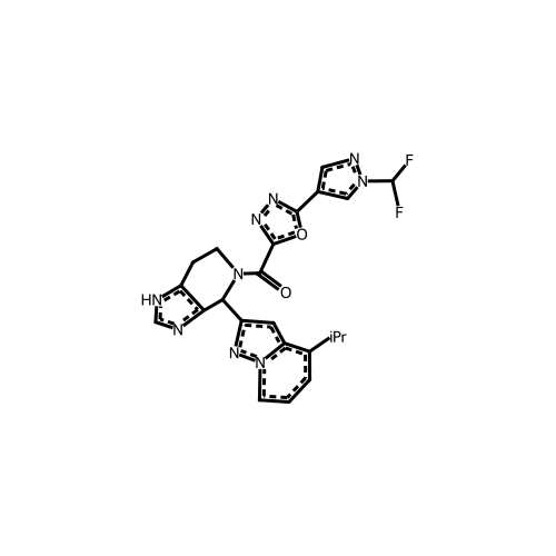 CC(C)c1cccn2nc(C3c4nc[nH]c4CCN3C(=O)c3nnc(-c4cnn(C(F)F)c4)o3)cc12